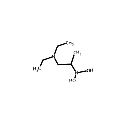 CCN(CC)CC(C)N(O)O